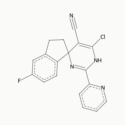 N#CC1=C(Cl)NC(c2ccccn2)=NC12CCc1cc(F)ccc12